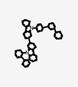 c1ccc(-c2cccc(-c3ccc(-n4c5ccccc5c5ccc(-c6ccc7c8ccccc8n(-c8ccccc8-c8ccccc8)c7c6)cc54)cc3)c2)cc1